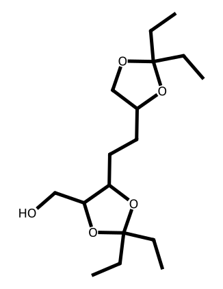 CCC1(CC)OCC(CCC2OC(CC)(CC)OC2CO)O1